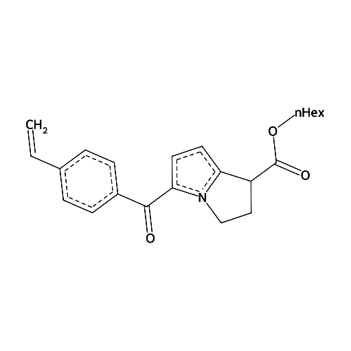 C=Cc1ccc(C(=O)c2ccc3n2CCC3C(=O)OCCCCCC)cc1